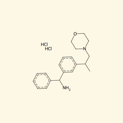 CC(CN1CCOCC1)c1cccc(C(N)c2ccccc2)c1.Cl.Cl